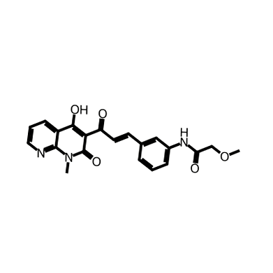 COCC(=O)Nc1cccc(C=CC(=O)c2c(O)c3cccnc3n(C)c2=O)c1